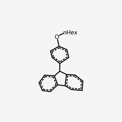 CCCCCCOc1ccc(C2c3ccccc3-c3ccccc32)cc1